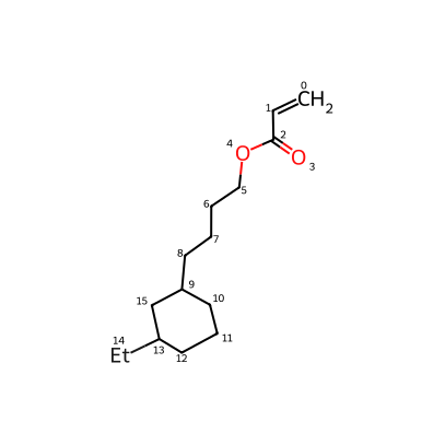 C=CC(=O)OCCCCC1CCCC(CC)C1